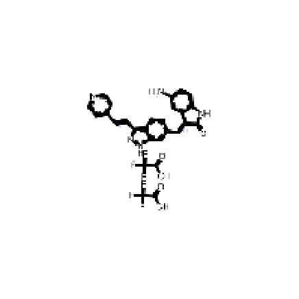 Nc1ccc2c(c1)/C(=C\c1ccc3c(/C=C/c4ccncc4)n[nH]c3c1)C(=O)N2.O=C(O)C(F)(F)F.O=C(O)C(F)(F)F